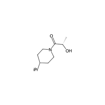 CC(C)C1CCN(C(=O)[C@H](C)O)CC1